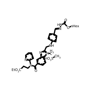 CCCCCCOC(=O)NN=Cc1ccc(NCc2nc3cc(C(=O)N(CCC(=O)OCC)c4ccccn4)ccc3n2C)cc1.CS(=O)(=O)O